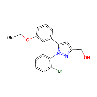 CC(C)(C)COc1cccc(-c2cc(CO)nn2-c2ccccc2Br)c1